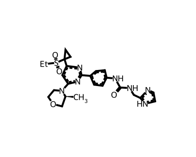 CCS(=O)(=O)C1(c2cc(N3CCOC[C@@H]3C)nc(-c3ccc(NC(=O)NCc4ncc[nH]4)cc3)n2)CC1